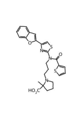 CC1(C(=O)O)CCCN1CCCN(C(=O)c1cccs1)c1nc(-c2cc3ccccc3o2)cs1